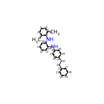 Cc1cccc(C)c1Nc1ccccc1Nc1ccc(CCc2ccccc2)cc1